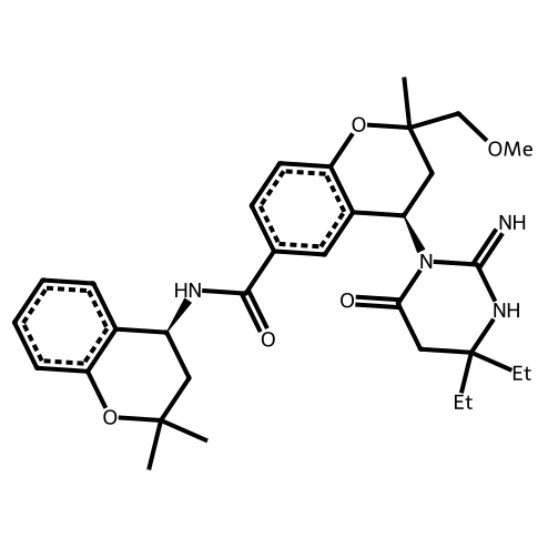 CCC1(CC)CC(=O)N([C@@H]2CC(C)(COC)Oc3ccc(C(=O)N[C@H]4CC(C)(C)Oc5ccccc54)cc32)C(=N)N1